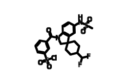 CS(=O)(=O)Nc1ccc2c(c1)C1(CCC(C(F)F)CC1)CN2C(=O)c1cccc(S(=O)(=O)Cl)c1